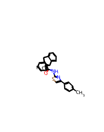 Cc1ccc(-c2csc(NC(=O)C3(C)CC4c5ccccc5C3c3ccccc34)n2)cc1